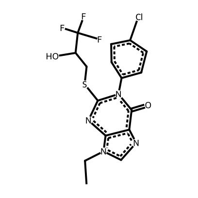 CCn1cnc2c(=O)n(-c3ccc(Cl)cc3)c(SCC(O)C(F)(F)F)nc21